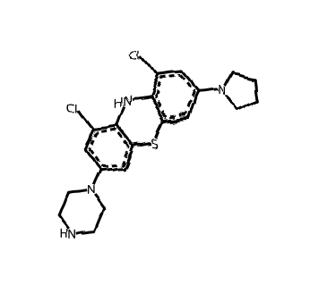 Clc1cc(N2CCCC2)cc2c1Nc1c(Cl)cc(N3CCNCC3)cc1S2